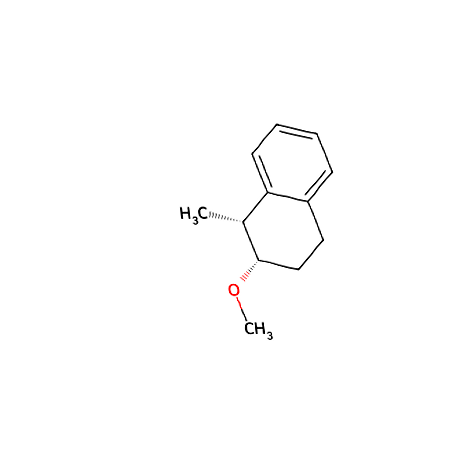 CO[C@H]1CCc2ccccc2[C@H]1C